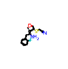 N#CCS[C@H]1COC[C@@H]1[C@@H](N)Cc1ccccc1F